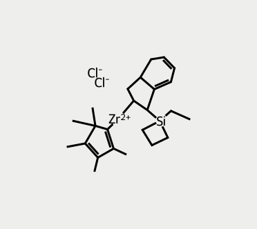 CC[Si]1(C2C3=CC=CCC3C[CH]2[Zr+2][C]2=C(C)C(C)=C(C)C2(C)C)CCC1.[Cl-].[Cl-]